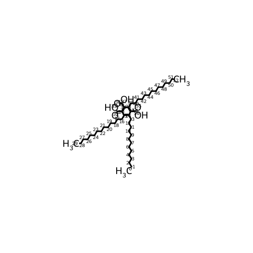 CCCCCCCCCCCCCCc1c(CCCCCCCCCCCCCC)c(C(=O)O)c(C(=O)O)c(CCCCCCCCCCCCCC)c1C(=O)O